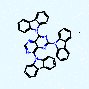 c1ccc2c(c1)c1ccccc1n2-c1nc(-n2c3ccccc3c3ccccc32)c2ncnc(-n3c4ccccc4c4ccccc43)c2n1